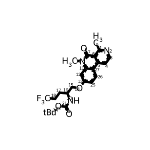 Cc1nccc2c1c(=O)n(C)c1cc(OCC(CCC(F)(F)F)NC(=O)OC(C)(C)C)ccc21